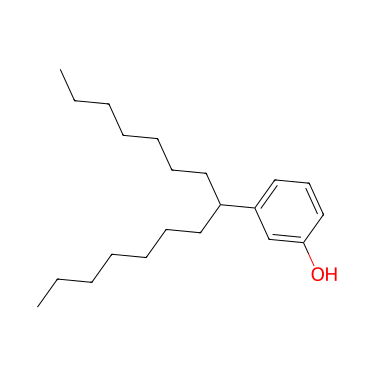 CCCCCCCC(CCCCCCC)c1cccc(O)c1